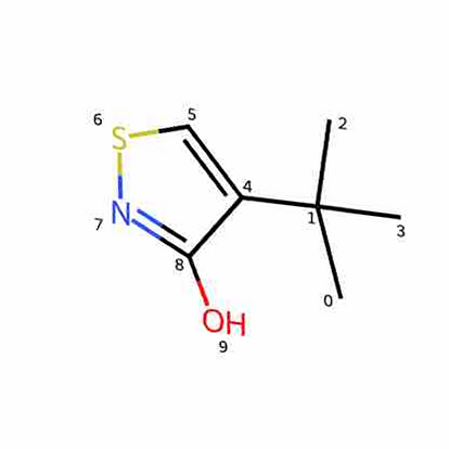 CC(C)(C)c1csnc1O